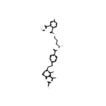 Cc1ccc(C(=O)NCCC[C@H](NC(=O)c2ccc(CCc3ccc4nc(N)nc(N)c4c3F)cc2)C(=O)O)c(-c2nn[nH]n2)c1